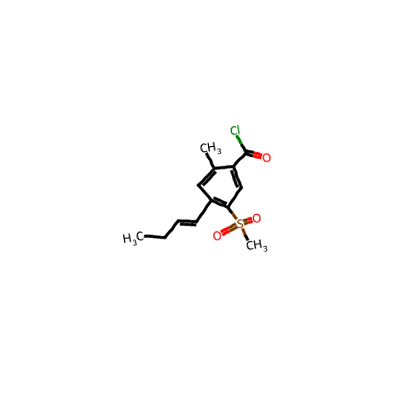 CCC=Cc1cc(C)c(C(=O)Cl)cc1S(C)(=O)=O